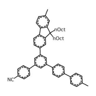 CCCCCCCCC1(CCCCCCCC)c2cc(C)ccc2-c2ccc(-c3cc(-c4ccc(C#N)cc4)cc(-c4ccc(-c5ccc(C)cc5)cc4)c3)cc21